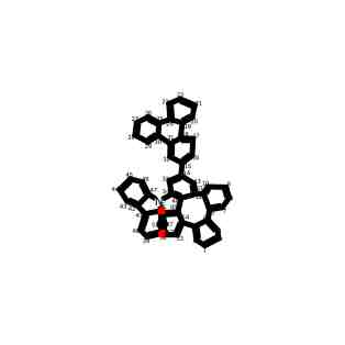 c1ccc2c(c1)-c1ccccc1-c1cc(-c3ccc4c5ccccc5c5ccccc5c4c3)cc(-n3c4ccccc4c4ccccc43)c1-c1ccccc1-2